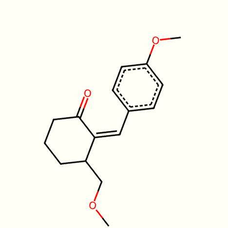 COCC1CCCC(=O)/C1=C\c1ccc(OC)cc1